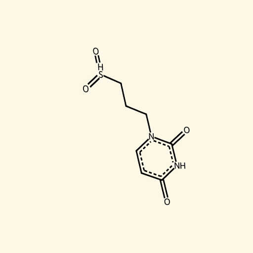 O=c1ccn(CCC[SH](=O)=O)c(=O)[nH]1